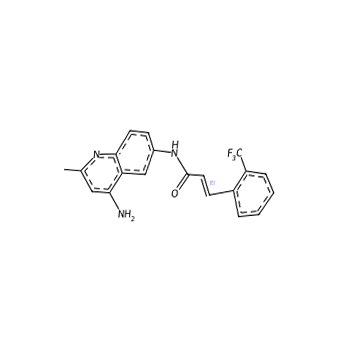 Cc1cc(N)c2cc(NC(=O)/C=C/c3ccccc3C(F)(F)F)ccc2n1